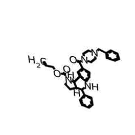 C=CCOC(=O)N1CC[C@H]2C(c3ccccc3)Nc3ccc(C(=O)N4CCN(Cc5ccccc5)CC4)cc3[C@H]21